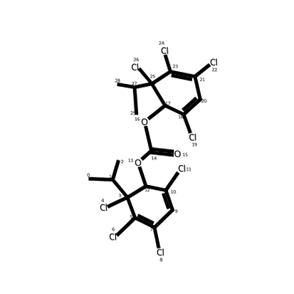 CC(C)C1(Cl)C(Cl)=C(Cl)C=C(Cl)C1OC(=O)OC1C(Cl)=CC(Cl)=C(Cl)C1(Cl)C(C)C